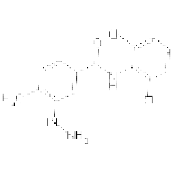 Cc1ccc(C(=O)Nc2c(Cl)cccc2Cl)cc1NN